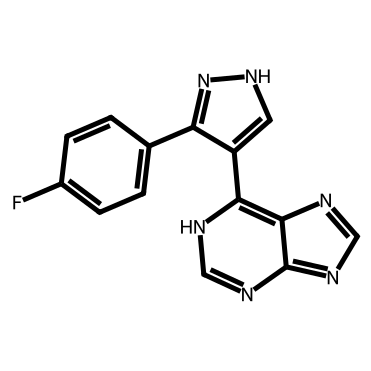 Fc1ccc(-c2n[nH]cc2-c2[nH]cnc3ncnc2-3)cc1